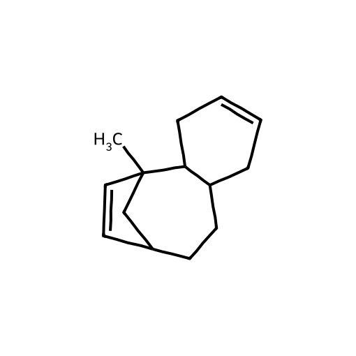 CC12C=CC(CCC3CC=CCC31)C2